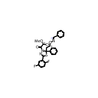 CO[C@@H](C)C(=O)N1N=C(c2cc(F)ccc2F)SC1(CCO/N=C/c1ccccc1)c1ccccc1